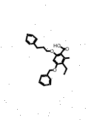 CCc1c(OCc2ccccc2)cc(OCCCc2ccccc2)c(C(=O)O)c1C